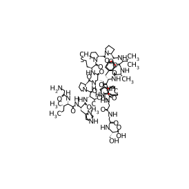 CC[C@H](C)[C@H](NC(=O)CN)C(=O)N[C@@H](Cc1c[nH]cn1)C(=O)N[C@H](C(=O)N1CCC[C@H]1C(=O)N[C@@H](Cc1c[nH]c2ccccc12)C(=O)N[C@@H](CCSC)C(=O)N1CCC[C@H]1C(=O)N1CCC[C@H]1C(=O)N[C@H](C(=O)N[C@@H](C)C(=O)N[C@@H](Cc1ccccc1)C(=O)NCC(=O)NCC(=O)NCC(=O)N[C@@H](CO)C(=O)O)C(C)C)C(C)C